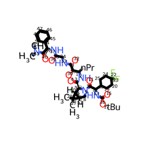 CCCC(NC(=O)[C@@H]1[C@@H]2[C@H](CN1C(=O)C(NC(=O)OC(C)(C)C)C1CCC(F)(F)CC1)C2(C)C)C(=O)C(=O)NCC(=O)N[C@H](C(=O)N(C)C)c1ccccc1